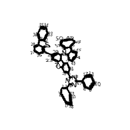 c1ccc(-c2nc(-c3ccccc3)nc(-c3ccc4c(c3)oc3cc(-c5cccc6c5sc5ccccc56)cc(-n5c6ccccc6c6ccccc65)c34)n2)cc1